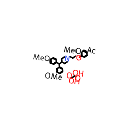 COc1ccc(C(c2ccc(OC)cc2)C2CCN(CCCOc3ccc(C(C)=O)cc3OC)CC2)cc1.O=C(O)C(=O)O